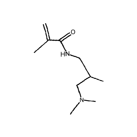 C=C(C)C(=O)NCC(C)CN(C)C